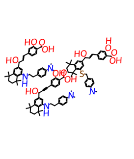 CN(C)c1ccc(CCNc2cc(C(O)C#Cc3ccc(C(=O)O)c(O)c3)cc3c2C(C)(C)CCC3(C)C)cc1.CN(C)c1ccc(CCNc2cc(C(O)C=Cc3ccc(C(=O)O)c(O)c3)cc3c2C(C)(C)CCC3(C)C)cc1.CN(C)c1ccc(CSc2cc(C(O)C=Cc3ccc(C(=O)O)c(O)c3)cc3c2C(C)(C)CCC3(C)C)cc1